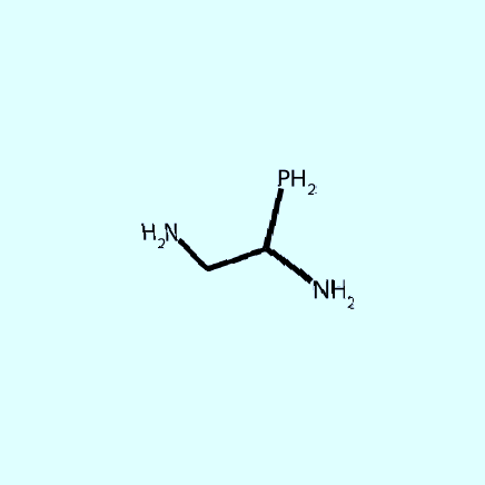 NCC(N)P